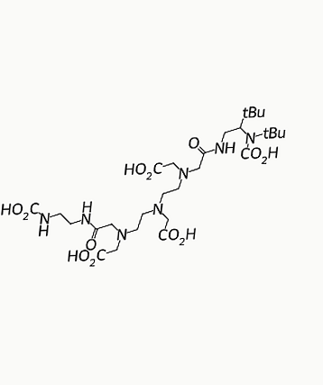 CC(C)(C)C(CNC(=O)CN(CCN(CCN(CC(=O)O)CC(=O)NCCNC(=O)O)CC(=O)O)CC(=O)O)N(C(=O)O)C(C)(C)C